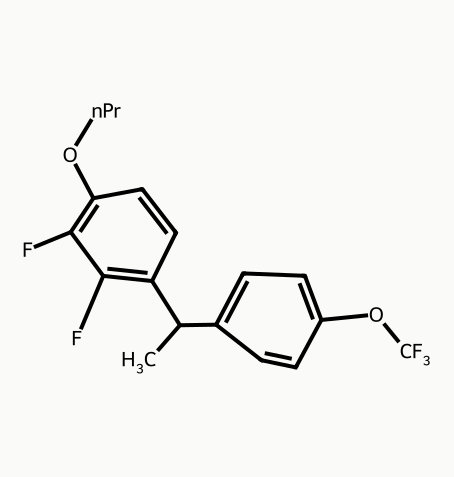 CCCOc1ccc(C(C)c2ccc(OC(F)(F)F)cc2)c(F)c1F